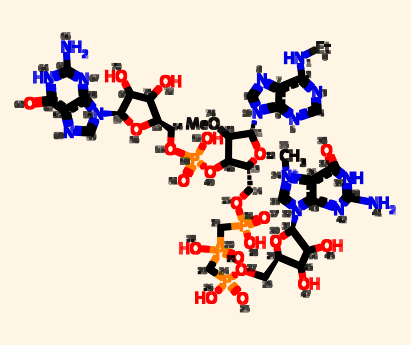 CCNc1ncnc2c1ncn2[C@@H]1O[C@H](COP(=O)(O)CP(=O)(O)CP(=O)(O)OC[C@H]2O[C@@H](n3c[n+](C)c4c(=O)[nH]c(N)nc43)C(O)C2O)C(OP(=O)(O)OC[C@H]2O[C@@H](n3cnc4c(=O)[nH]c(N)nc43)C(O)C2O)C1OC